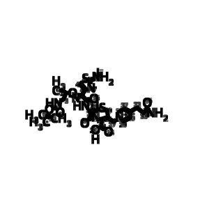 CCC(CNC(=O)OC(C)(C)C)ON=C(C(=O)NC1C(=O)N2C(C(=O)O)=C(C[n+]3ccc(CCC(N)=O)cc3)CS[C@@H]12)c1csc(N)n1.[I-]